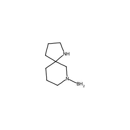 BN1CCCC2(CCCN2)C1